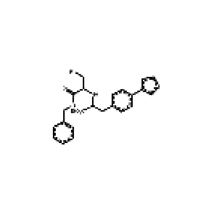 CCOC(=O)C(Cc1ccc(-c2ccsc2)cc1)NC(CC(C)C)C(=O)OCc1ccccc1